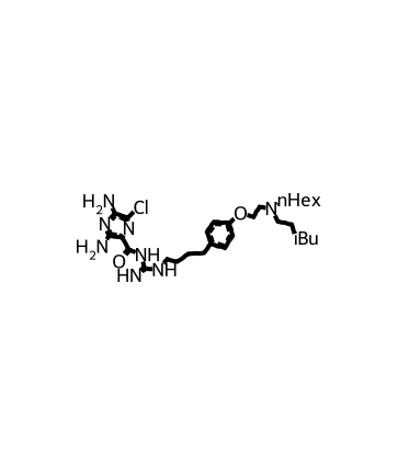 CCCCCCN(CCOc1ccc(CCCCNC(=N)NC(=O)c2nc(Cl)c(N)nc2N)cc1)CCC(C)CC